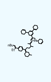 CCCC/C=C(\CC)C1=CC=C(/C(CCC(C)/C(C)=C/C=C(\CNC2CC=CCC2)C2=CC(C3=CCCCC3)=CC(C3C=CCCC3)C2)=C2\CCCC(C)C2)CC1